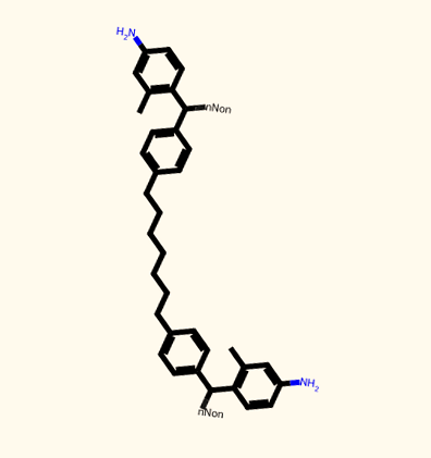 CCCCCCCCCC(c1ccc(CCCCCCCc2ccc(C(CCCCCCCCC)c3ccc(N)cc3C)cc2)cc1)c1ccc(N)cc1C